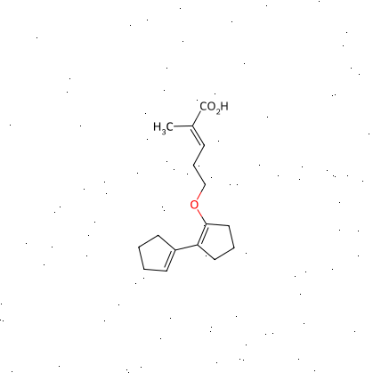 CC(=CCCOC1=C(C2=CCCC2)CCC1)C(=O)O